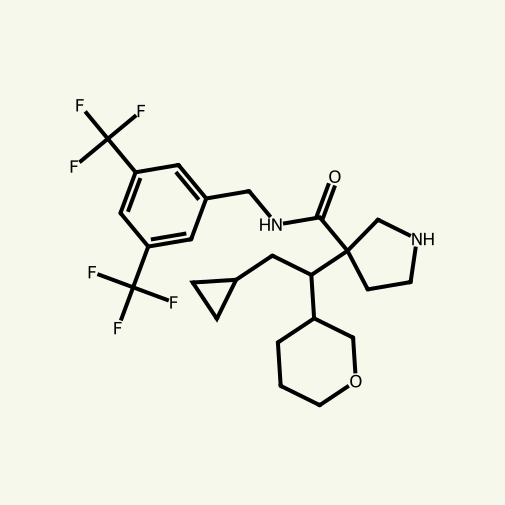 O=C(NCc1cc(C(F)(F)F)cc(C(F)(F)F)c1)C1(C(CC2CC2)C2CCCOC2)CCNC1